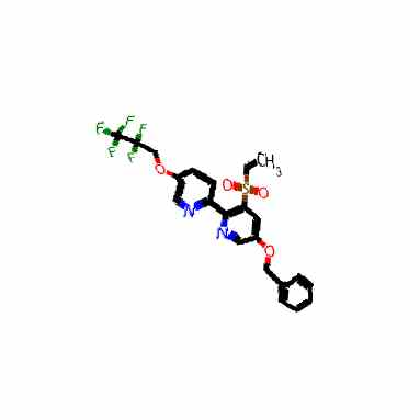 CCS(=O)(=O)c1cc(OCc2ccccc2)cnc1-c1ccc(OCC(F)(F)C(F)(F)F)cn1